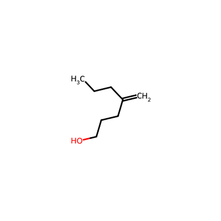 C=C(CCC)CCCO